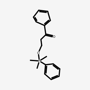 CP(C)(C)(OCCC(=O)c1ccccc1)c1ccccc1